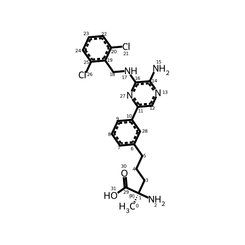 C[C@@](N)(CCCc1cccc(-c2cnc(N)c(NCc3c(Cl)cccc3Cl)n2)c1)C(=O)O